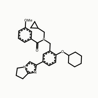 COc1cccc(C(=O)N(Cc2cc(-c3cn4c(n3)CCC4)ccc2OC2CCCCC2)CC2CC2)c1